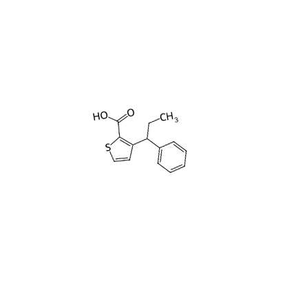 CCC(c1ccccc1)c1ccsc1C(=O)O